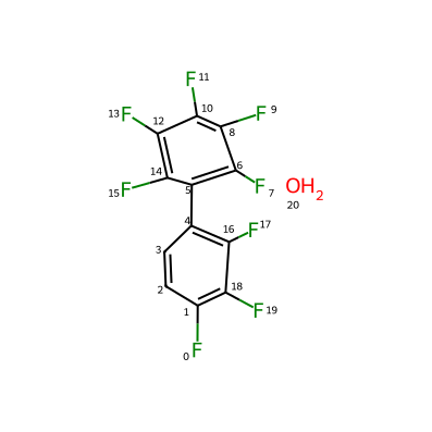 Fc1ccc(-c2c(F)c(F)c(F)c(F)c2F)c(F)c1F.O